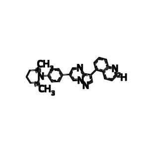 [2H]c1ccc2c(-c3cnn4cc(-c5ccc(N6[C@H](C)CCC[C@@H]6C)cc5)cnc34)cccc2n1